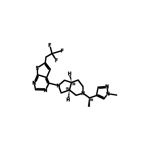 C[C@H](c1cnn(C)c1)N1CC[C@@H]2CN(c3ncnc4sc(CC(F)(F)F)cc34)C[C@@H]2C1